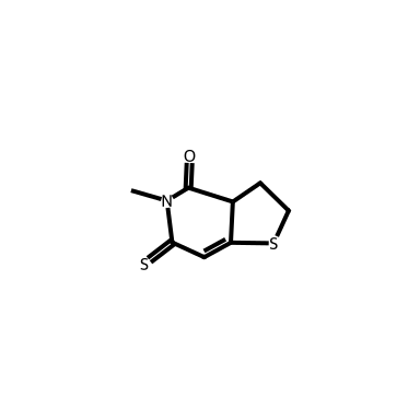 CN1C(=O)C2CCSC2=CC1=S